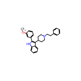 FC(F)(F)Oc1cccc(-c2[nH]c3ccccc3c2C2CCN(CCc3ccccc3)CC2)c1